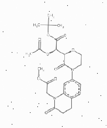 COC(=O)CN1C(=O)CCc2ccc(N3CCO[C@H]([C@@H](OC(C)=O)C(=O)OC(C)(C)C)C3=O)cc21